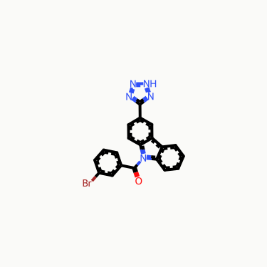 O=C(c1cccc(Br)c1)n1c2ccccc2c2cc(-c3nn[nH]n3)ccc21